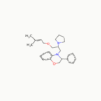 CC(C)=CCOCC(CN1c2ccccc2OCC1c1ccccc1)N1CCCC1